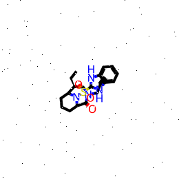 C#CCN1C[C@H](CC)C2CCCC(C1=O)N2S(=O)(=O)C1Nc2ccccc2N1